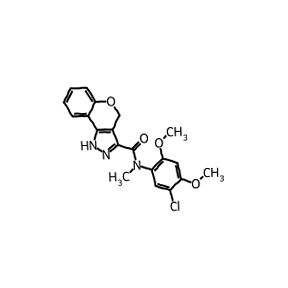 COc1cc(OC)c(N(C)C(=O)c2n[nH]c3c2COc2ccccc2-3)cc1Cl